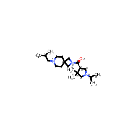 CC(C)CN1CCC2(CC1)CN(C(=O)[C@H]1CN(C(C)C)CC1(C)C)C2